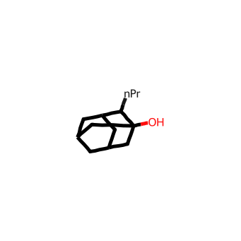 CCCC1C2CC3CC(C2)CC1(O)C3